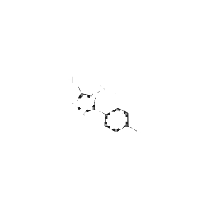 Nn1c(S)nnc1-c1ccc(Br)cc1